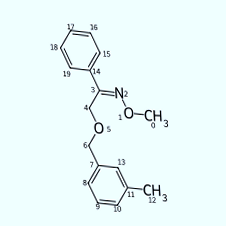 CON=C(COCc1cccc(C)c1)c1ccccc1